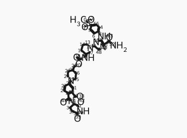 CS(=O)(=O)c1ccc(Nc2nc(N3CCCC(NC(=O)OCC4CCN(c5ccc6c(c5)C(=O)N(C5CCC(=O)NC5=O)C6=O)CC4)C3)cnc2C(N)=O)cc1